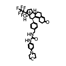 C[C@]12C[C@H](c3ccc(CNC(=O)Nc4ccc(N5CCCCC5)cc4)cc3)C3=C4CCC(=O)C=C4CC[C@H]3[C@@H]1CC[C@@]2(O)C(F)(F)C(F)(F)F